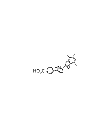 Cc1cc(C)c2oc(-c3ccc(-c4ccc(C(=O)O)cc4)[nH]3)cc2c1C